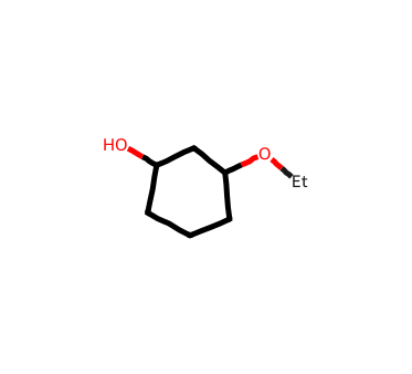 CCOC1CCCC(O)C1